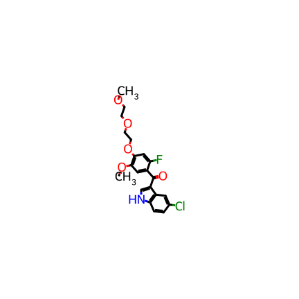 COCCOCCOc1cc(F)c(C(=O)c2c[nH]c3ccc(Cl)cc23)cc1OC